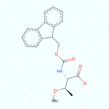 C[C@@H](OC(C)(C)C)[C@H](NC(=O)OCC1c2ccccc2-c2ccccc21)C([O])=O